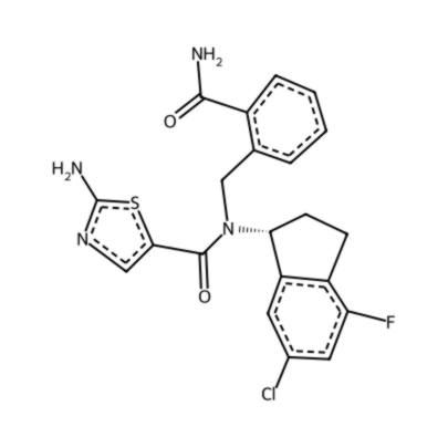 NC(=O)c1ccccc1CN(C(=O)c1cnc(N)s1)[C@@H]1CCc2c(F)cc(Cl)cc21